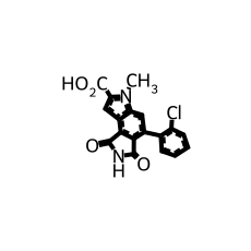 Cn1c(C(=O)O)cc2c3c(c(-c4ccccc4Cl)cc21)C(=O)NC3=O